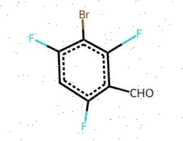 O=Cc1c(F)cc(F)c(Br)c1F